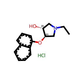 CCN1C[C@@H](O)[C@H](Oc2cccc3ccccc23)C1.Cl